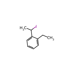 CCc1ccccc1C(C)I